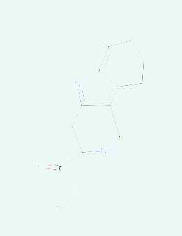 CC(C)(C)OC(=O)C1CC2=NC3=C(S(=O)(=O)O)C=CCC3=C2CN1